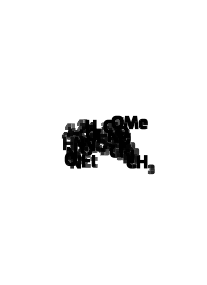 CCc1nonc1C(=O)N[C@H](C(=O)Nc1ccc([C@H](C)[C@@H](NC(=O)[C@H](C)OC)C(=O)N2CCN(C)CC2)cc1F)C(C1CC1)C1CC1